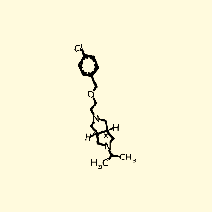 CC(C)N1C[C@H]2CN(CCOCc3ccc(Cl)cc3)C[C@H]2C1